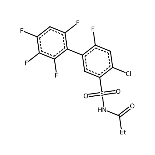 CCC(=O)NS(=O)(=O)c1cc(-c2c(F)cc(F)c(F)c2F)c(F)cc1Cl